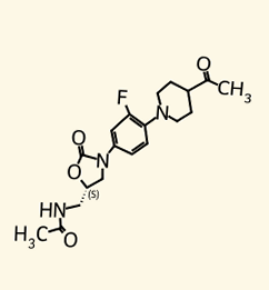 CC(=O)NC[C@H]1CN(c2ccc(N3CCC(C(C)=O)CC3)c(F)c2)C(=O)O1